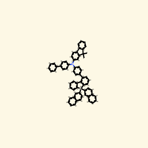 CC1(C)c2ccccc2-c2ccc(N(c3ccc(-c4ccccc4)cc3)c3ccc(-c4cccc5c4-c4ccccc4[Si]5(c4ccc5ccccc5c4)c4ccc5ccccc5c4)cc3)cc21